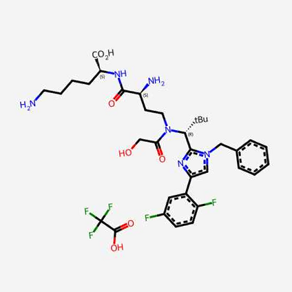 CC(C)(C)[C@H](c1nc(-c2cc(F)ccc2F)cn1Cc1ccccc1)N(CC[C@H](N)C(=O)N[C@@H](CCCCN)C(=O)O)C(=O)CO.O=C(O)C(F)(F)F